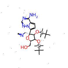 C=NC[C@@]1(c2ccc3c(N)ncnn23)O[C@H](CO)C(O[Si](C)(C)C(C)(C)C)C1O[Si](C)(C)C(C)(C)C